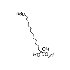 CCCCC=CC=CC=CCCCCCCC(O)(O)C(=O)O